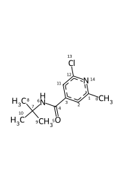 Cc1cc(C(=O)NC(C)(C)C)cc(Cl)n1